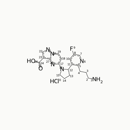 Cl.NCCCc1ncc(F)cc1C1CCCN1c1ccn2ncc(C(=O)O)c2n1